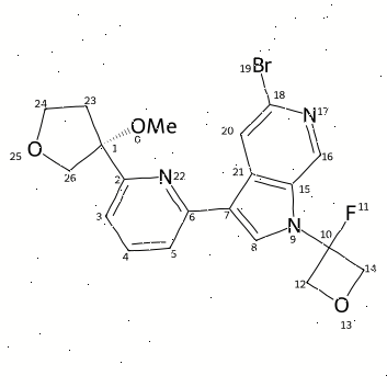 CO[C@@]1(c2cccc(-c3cn(C4(F)COC4)c4cnc(Br)cc34)n2)CCOC1